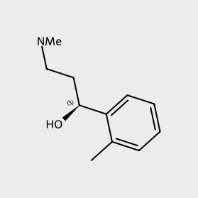 CNCC[C@H](O)c1ccccc1C